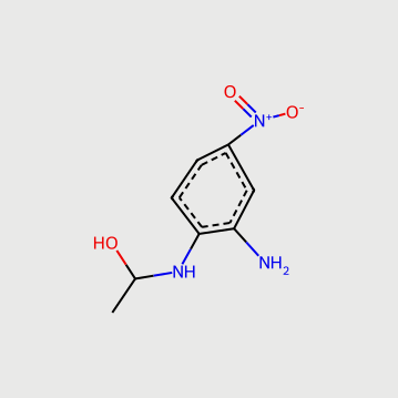 CC(O)Nc1ccc([N+](=O)[O-])cc1N